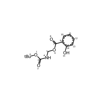 CC(C)(C)OC(=O)NCOC(=O)c1ccccc1O